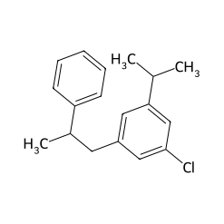 CC(C)c1cc(Cl)cc(CC(C)c2ccccc2)c1